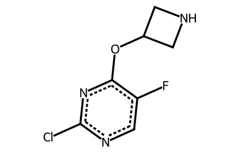 Fc1cnc(Cl)nc1OC1CNC1